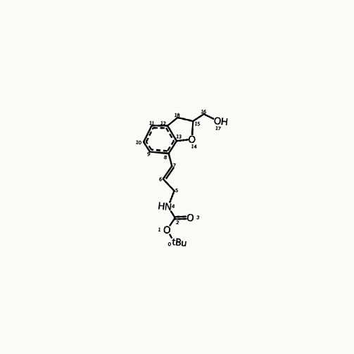 CC(C)(C)OC(=O)NC/C=C/c1cccc2c1OC(CO)C2